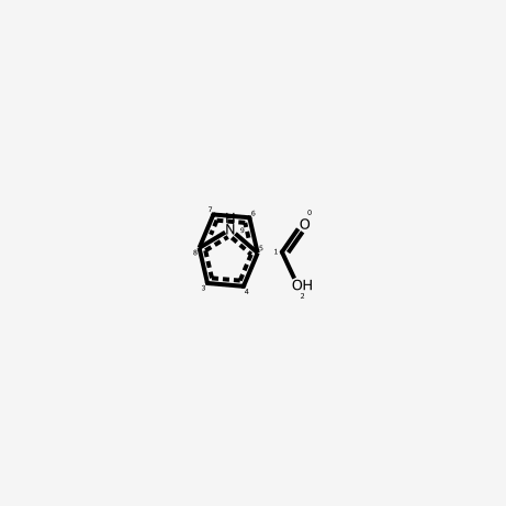 O=CO.c1cc2ccc1[nH]2